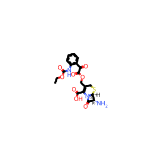 CCOC(=O)Nc1ccccc1C(=O)C(=O)OCC1=C(C(=O)O)N2C(=O)[C@@H](N)[C@@H]2SC1